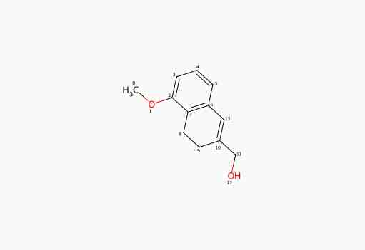 COc1cccc2c1CCC(CO)=C2